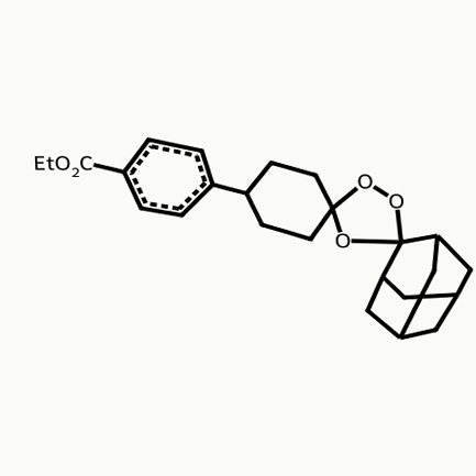 CCOC(=O)c1ccc(C2CCC3(CC2)OOC2(O3)C3CC4CC(C3)CC2C4)cc1